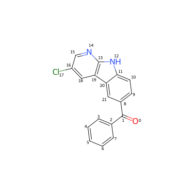 O=C(c1ccccc1)c1ccc2[nH]c3ncc(Cl)cc3c2c1